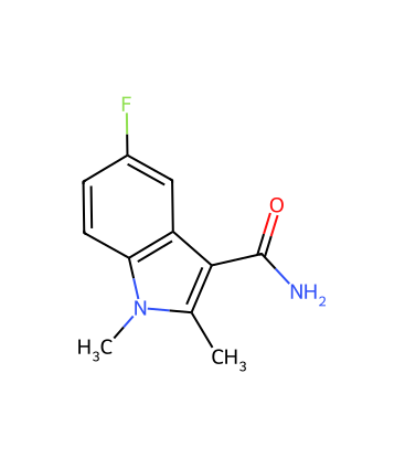 Cc1c(C(N)=O)c2cc(F)ccc2n1C